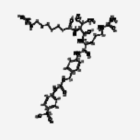 CC(C)[C@H](NC(=O)CCCCCCN=[N+]=[N-])C(=O)N[C@@H](CCCNC(N)=O)C(=O)Nc1ccc(COC(=O)Oc2ccc([N+](=O)[O-])cc2)cc1